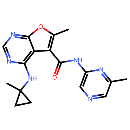 Cc1cncc(NC(=O)c2c(C)oc3ncnc(NC4(C)CC4)c23)n1